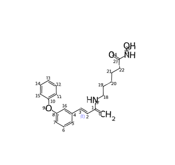 C=C(/C=C/c1cccc(Oc2ccccc2)c1)NCCCCCC(=O)NO